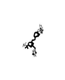 CC(C)(C#N)c1cc(C=Cc2ccc(OS(N)(=O)=O)cc2)cc(Cn2cncn2)c1